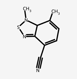 CC1=CC=C(C#N)C2=NSN(C)C12